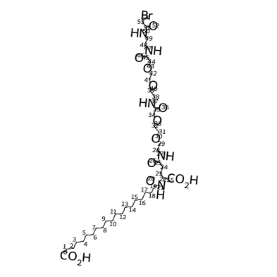 O=C(O)CCCCCCCCCCCCCCCCCCC(=O)N[C@@H](CCC(=O)NCCOCCOCC(=O)NCCOCCOCC(=O)NCCNC(=O)CBr)C(=O)O